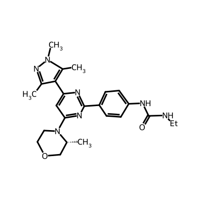 CCNC(=O)Nc1ccc(-c2nc(-c3c(C)nn(C)c3C)cc(N3CCOC[C@H]3C)n2)cc1